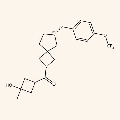 CC1(O)CC(C(=O)N2CC3(CC[C@H](Cc4ccc(OC(F)(F)F)cc4)C3)C2)C1